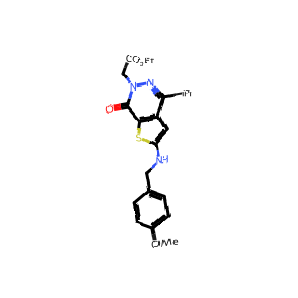 CCOC(=O)Cn1nc(C(C)C)c2cc(NCc3ccc(OC)cc3)sc2c1=O